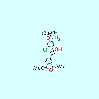 COC(=O)c1ccc(C2CC(O)(c3ccc(O[Si](C)(C)C(C)(C)C)cc3Cl)C2)cc1C(=O)OC